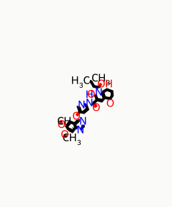 COc1cc2ncnc(Oc3ccc(NC(=O)c4cc5c(n(C(O)CC(C)C)c4=O)CCCC5=O)nc3)c2cc1OC